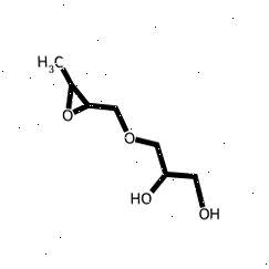 CC1OC1COCC(O)CO